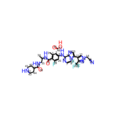 Cc1cc(Nc2nccn3c(-c4cn(CC#N)nc4C(F)(F)F)cnc23)cc(F)c1C(=O)NC(C)CNC(=O)C1CCNCC1.O=CO